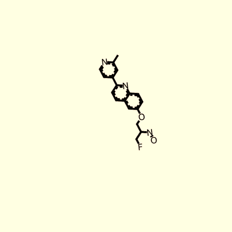 Cc1cc(-c2ccc3cc(OCC(CF)N=O)ccc3n2)ccn1